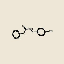 N#Cc1ccc(CNC(=O)Oc2ccccc2)cc1